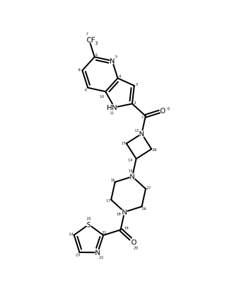 O=C(c1cc2nc(C(F)(F)F)ccc2[nH]1)N1CC(N2CCN(C(=O)c3nccs3)CC2)C1